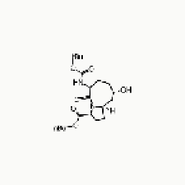 CCCCOC(=O)[C@@H]1CC[C@@H]2C[C@@H](O)CC[C@H](NC(=O)OC(C)(C)C)C(=O)N21